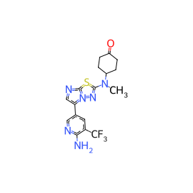 CN(c1nn2c(-c3cnc(N)c(C(F)(F)F)c3)cnc2s1)C1CCC(=O)CC1